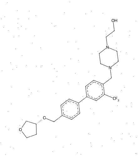 OCCN1CCN(Cc2ccc(-c3ccc(CO[C@@H]4CCOC4)cc3)cc2C(F)(F)F)CC1